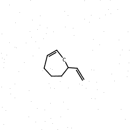 C=CC1CC=CCCC1